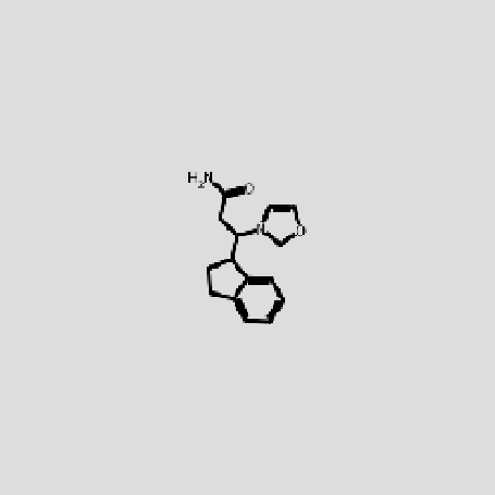 NC(=O)CC(C1CCc2ccccc21)N1C=COC1